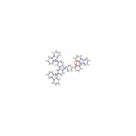 c1cc(-c2ccc(-n3c4ccc(-n5c6ccccc6c6ccccc65)cc4c4cc(-n5c6ccccc6c6ccccc65)ccc43)cc2)c2c(c1)-n1c3ccccc3c3cccc(c31)O2